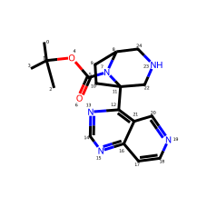 CC(C)(C)OC(=O)N1C2CCC1(c1ncnc3ccncc13)CNC2